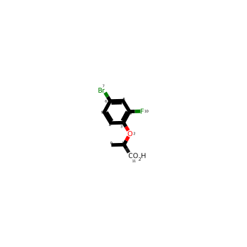 CC(Oc1ccc(Br)cc1F)C(=O)O